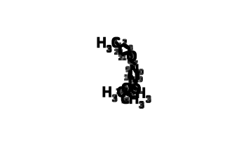 Cc1ccc(OCCN2CCN(C(=O)OC(C)(C)C)CC2)cc1